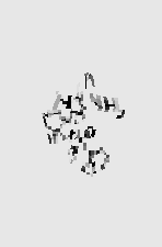 CCC[C@@H](C(N)=O)N(C)[C@H]1CC[C@@H]2CN(S(=O)(=O)c3ccco3)C[C@@H]21